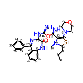 CCCC1SC(N2CCOCC2)=C(C(=N)OC(=N)NC2N=C(c3ccccc3)c3ccccc3NC2=O)N1C